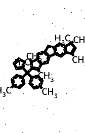 CC1=CC(C)(C)c2cc3c(cc21)-c1cc2c(cc1C3)C(C)(C)C(C(C1=CC=CC1)(c1ccc(C)cc1)c1ccc(C)cc1)=C2C